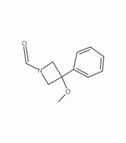 COC1(c2ccccc2)CN(C=O)C1